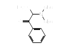 CCCCN(CCCC)C(C(=O)O)C(=O)c1ccccc1